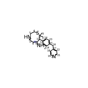 CC1(C)SCCNS/C=C(/N)C1c1ccc(Cc2ccncc2)cc1